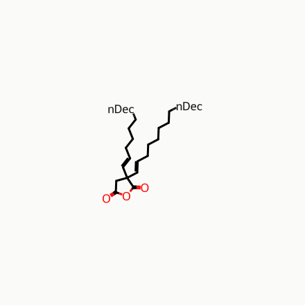 CCCCCCCCCCCCCCC=CC1(C=CCCCCCCCCCCCCCCCC)CC(=O)OC1=O